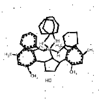 Cc1cc(C)c(C2CCC(c3c(C)cc(C)cc3C)[CH]2[Ru](=[CH]c2ccccc2)([PH]C2CCCCC2)([PH]C2CCCCC2)[PH]C2CCCCC2)c(C)c1.Cl